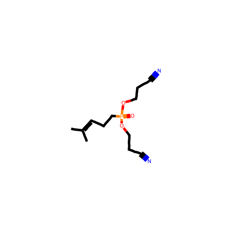 CC(C)=CCCP(=O)(OCCC#N)OCCC#N